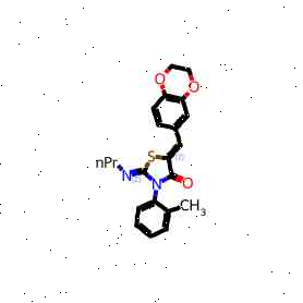 CCC/N=C1\S/C(=C\c2ccc3c(c2)OCCO3)C(=O)N1c1ccccc1C